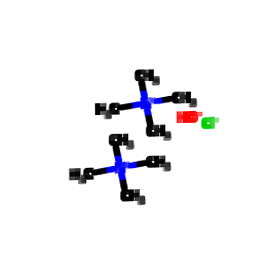 C[N+](C)(C)C.C[N+](C)(C)C.[Cl-].[OH-]